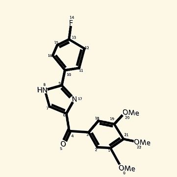 COc1cc(C(=O)c2c[nH]c(-c3ccc(F)cc3)n2)cc(OC)c1OC